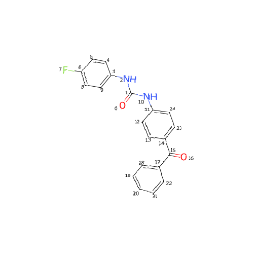 O=C(Nc1ccc(F)cc1)Nc1ccc(C(=O)c2ccccc2)cc1